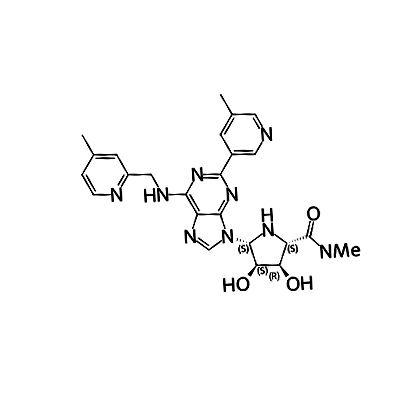 CNC(=O)[C@H]1N[C@@H](n2cnc3c(NCc4cc(C)ccn4)nc(-c4cncc(C)c4)nc32)[C@H](O)[C@@H]1O